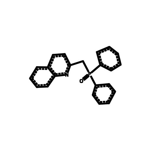 O=P(Cc1ccc2ccccc2n1)(c1ccccc1)c1ccccc1